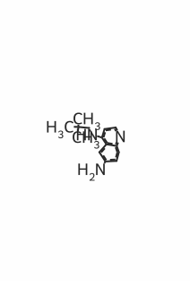 CC(C)(C)CNc1ccnc2ccc(N)cc12